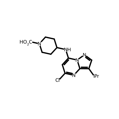 CC(C)c1cnn2c(NC3CCN(C(=O)O)CC3)cc(Cl)nc12